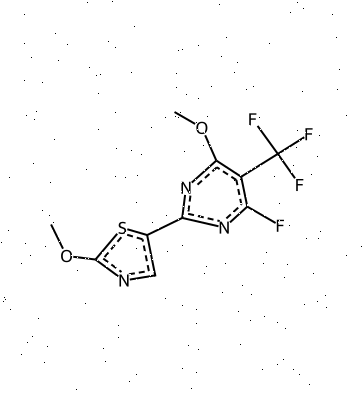 COc1ncc(-c2nc(F)c(C(F)(F)F)c(OC)n2)s1